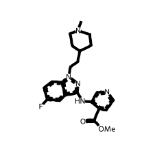 COC(=O)c1ccncc1Nc1nn(CCC2CCN(C)CC2)c2ccc(F)cc12